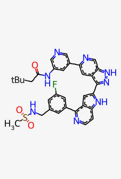 CC(C)(C)CC(=O)Nc1cncc(-c2cc3c(-c4cc5c(-c6cc(F)cc(CNS(C)(=O)=O)c6)nccc5[nH]4)n[nH]c3cn2)c1